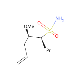 C=CC[C@@H](OC)[C@H](C(C)C)S(N)(=O)=O